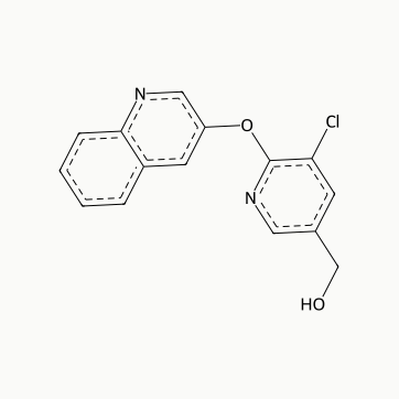 OCc1cnc(Oc2cnc3ccccc3c2)c(Cl)c1